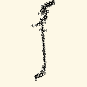 CC[C@@]1(OC(=O)OCc2ccc(NC(=O)[C@H](CCCCN)NC(=O)COCC(=O)NCCOCCOCCOCCOCCOCCOCCOCCOCCn3cc(CNC(=O)C4CCC(CN5C(=O)C=CC5=O)CC4)nn3)cc2)C(=O)OCc2c1cc1n(c2=O)Cc2cc3cc4c(cc3nc2-1)OCO4